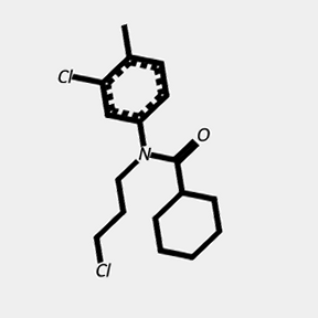 Cc1ccc(N(CCCCl)C(=O)C2CCCCC2)cc1Cl